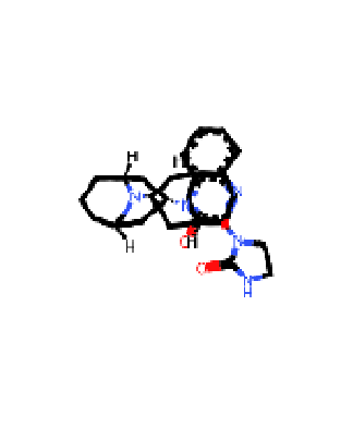 O=C1NCCN1c1nc2ccccc2n([C@H]2C[C@H]3CCC[C@@H](C2)N3[C@H]2C[C@@H]3CCC[C@@H](C3)C2)c1=O